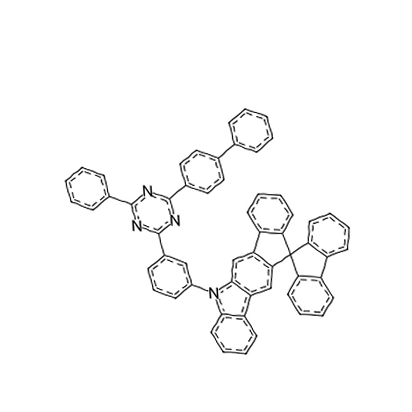 c1ccc(-c2ccc(-c3nc(-c4ccccc4)nc(-c4cccc(-n5c6ccccc6c6cc7c(cc65)-c5ccccc5C75c6ccccc6-c6ccccc65)c4)n3)cc2)cc1